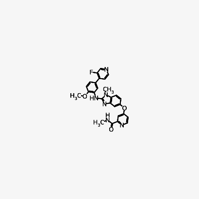 CNC(=O)c1cc(Oc2ccc3c(c2)nc(Nc2cc(-c4ccncc4F)ccc2OC)n3C)ccn1